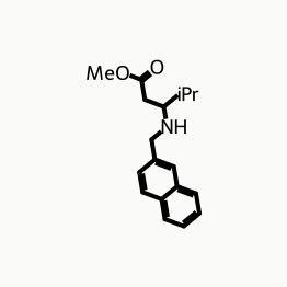 COC(=O)CC(NCc1ccc2ccccc2c1)C(C)C